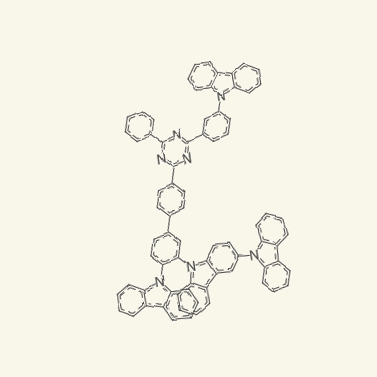 c1ccc(-c2nc(-c3ccc(-c4ccc(-n5c6ccccc6c6ccccc65)c(-n5c6ccccc6c6cc(-n7c8ccccc8c8ccccc87)ccc65)c4)cc3)nc(-c3cccc(-n4c5ccccc5c5ccccc54)c3)n2)cc1